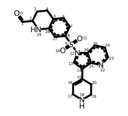 O=CC1CCc2ccc(S(=O)(=O)n3cc(C4=CCNCC4)c4ncccc43)cc2N1